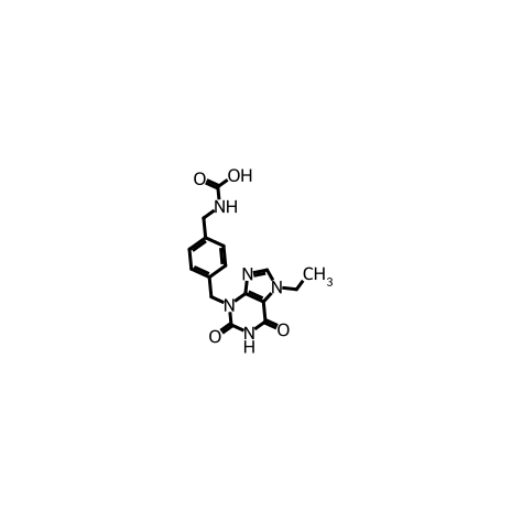 CCn1cnc2c1c(=O)[nH]c(=O)n2Cc1ccc(CNC(=O)O)cc1